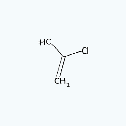 [CH]C(=C)Cl